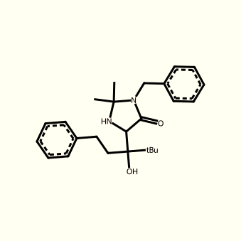 CC1(C)NC(C(O)(CCc2ccccc2)C(C)(C)C)C(=O)N1Cc1ccccc1